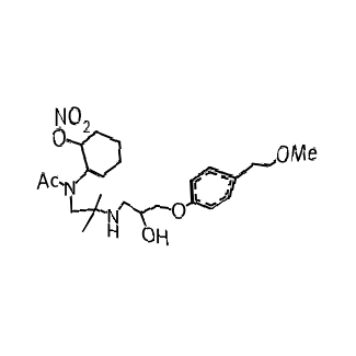 COCCc1ccc(OCC(O)CNC(C)(C)CN(C(C)=O)C2CCCCC2O[N+](=O)[O-])cc1